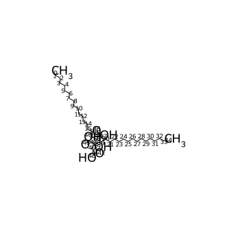 CCCCCCCCCCCCCCCCCCC(CCCCCCCCCCCCCCCC)(C(=O)O)C(O)(CC(=O)O)C(=O)O